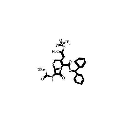 CC(=CC1=C(C(=O)OC(c2ccccc2)c2ccccc2)N2C(=O)C(NC(=O)OC(C)(C)C)C2SC1)OS(=O)(=O)C(F)(F)F